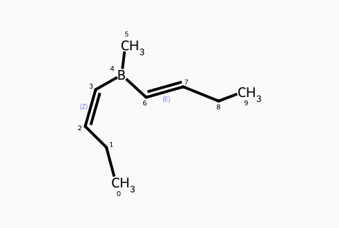 CC/C=C\B(C)/C=C/CC